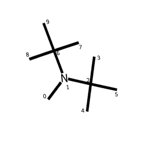 CN(C(C)(C)C)C(C)(C)C